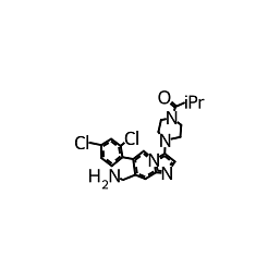 CC(C)C(=O)N1CCN(c2cnc3cc(CN)c(-c4ccc(Cl)cc4Cl)cn23)CC1